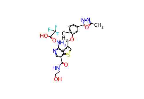 Cc1nnc(-c2ccc(C)c(OCc3csc4c(C(=O)NCCO)cnc(N)c34)c2)o1.O=C(O)C(F)(F)F